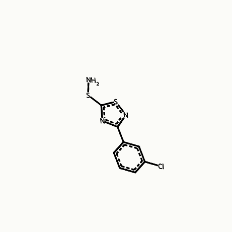 NSc1nc(-c2cccc(Cl)c2)ns1